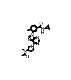 CC(=O)N(C)C1CCN(c2ncnc3c2ncn3-c2cc(C(=O)NC3CC3)ccc2C)C1